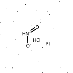 Cl.O=[NH+][O-].[Pt]